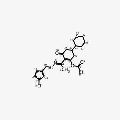 CCC(=O)OC1=C(C(C)=NOCc2ccc(Cl)s2)C(=O)CC(C2CCCSC2)C1